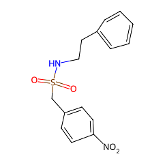 O=[N+]([O-])c1ccc(CS(=O)(=O)NCCc2ccccc2)cc1